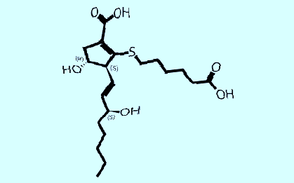 CCCCC[C@H](O)C=C[C@@H]1C(SCCCCCC(=O)O)=C(C(=O)O)C[C@H]1O